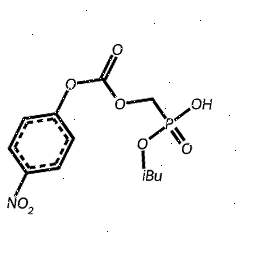 CCC(C)OP(=O)(O)COC(=O)Oc1ccc([N+](=O)[O-])cc1